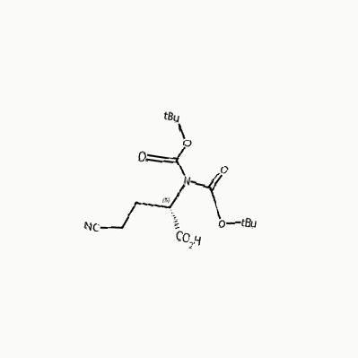 CC(C)(C)OC(=O)N(C(=O)OC(C)(C)C)[C@@H](CCC#N)C(=O)O